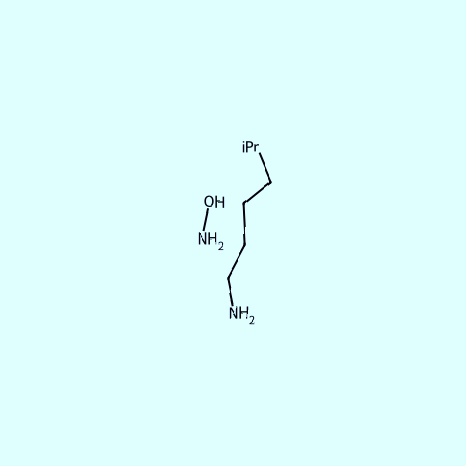 CC(C)CCCCN.NO